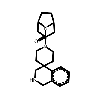 O=CN1C2CCC1CC(N1CCC3(CC1)CNCc1ccccc13)C2